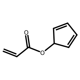 C=CC(=O)OC1C=CC=C1